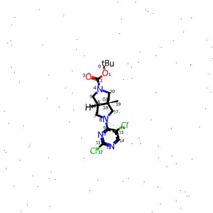 CC(C)(C)OC(=O)N1C[C@H]2CN(c3nc(Cl)ncc3Cl)C[C@@]2(C)C1